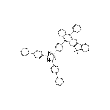 CC1(C)c2ccccc2-c2cc3c(-c4ccccc4)c4ccccc4c(-c4ccc(-c5nc(-c6ccc(-c7ccccc7)cc6)nc(-c6ccc(-c7ccccc7)cc6)n5)cc4)c3cc21